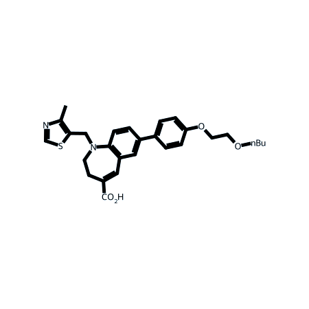 CCCCOCCOc1ccc(-c2ccc3c(c2)C=C(C(=O)O)CCN3Cc2scnc2C)cc1